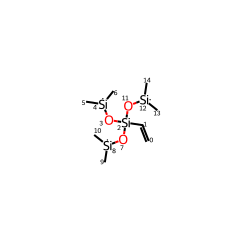 C=C[Si](O[Si](C)C)(O[Si](C)C)O[Si](C)C